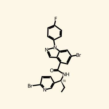 CC[C@H](NC(=O)c1cc(Br)cc2c1cnn2-c1ccc(F)cc1)c1ccc(Br)nc1